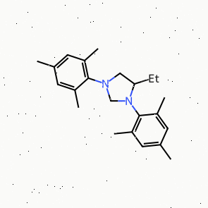 CCC1CN(c2c(C)cc(C)cc2C)CN1c1c(C)cc(C)cc1C